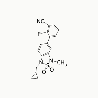 CN1c2cc(-c3cccc(C#N)c3F)ccc2N(CC2CC2)S1(=O)=O